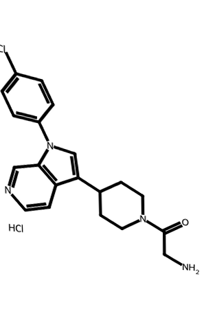 Cl.NCC(=O)N1CCC(c2cn(-c3ccc(Cl)cc3)c3cnccc23)CC1